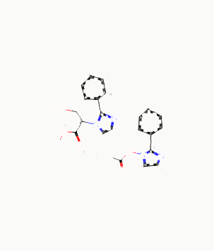 CC(=O)On1ccnc1-c1ccccc1.COC(=O)C(CO)n1ccnc1-c1ccccc1